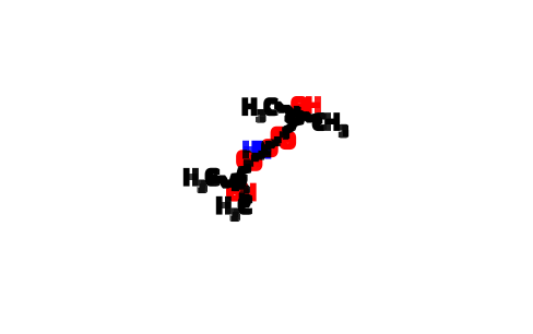 CCCCc1cc(CCC(=O)OCCNOCCOC(=O)CCc2cc(CCCC)c(O)c(CCCC)c2)cc(CCCC)c1O